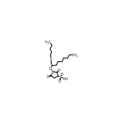 CCCCCCCC(CCCCCCC)ON1C(=O)CC(S(=O)(=O)O)C1=O